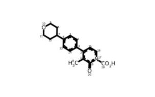 Cc1c(-c2ccc(C3CCOCC3)cc2)ccn(C(=O)O)c1=O